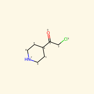 O=C(CCl)[C]1CCNCC1